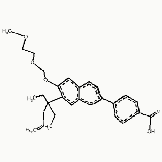 C=CCC(CC)(CC)c1cc2cc(-c3ccc(C(=O)O)cc3)ccc2cc1OCOCCOC